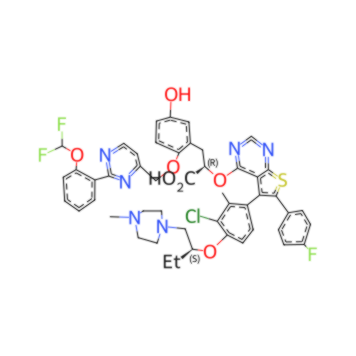 CC[C@@H](CN1CCN(C)CC1)Oc1ccc(-c2c(-c3ccc(F)cc3)sc3ncnc(O[C@H](Cc4cc(O)ccc4OCc4ccnc(-c5ccccc5OC(F)F)n4)C(=O)O)c23)c(C)c1Cl